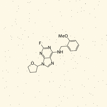 COc1ccccc1CNc1nc(F)nc2c1ncn2C1CCCO1